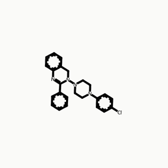 Clc1ccc(N2CCN(N3Cc4ccccc4N=C3c3ccccc3)CC2)cc1